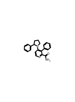 NC(=O)c1nccc(N2CCCC2c2ccccc2)c1-c1ccccc1